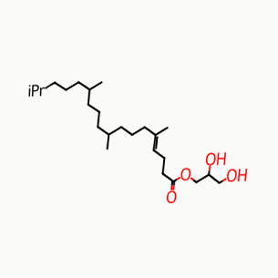 CC(=CCCC(=O)OCC(O)CO)CCCC(C)CCCC(C)CCCC(C)C